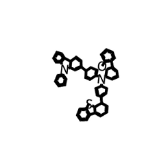 C1=CC(C2=CCC(N(C3=CCC(C4=CC5C(C=C4)c4ccccc4N5c4ccccc4)C=C3)C3C=CC=C4c5ccccc5OC43)C=C2)C2Sc3ccccc3C2=C1